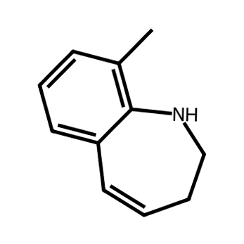 Cc1cccc2c1NCCC=C2